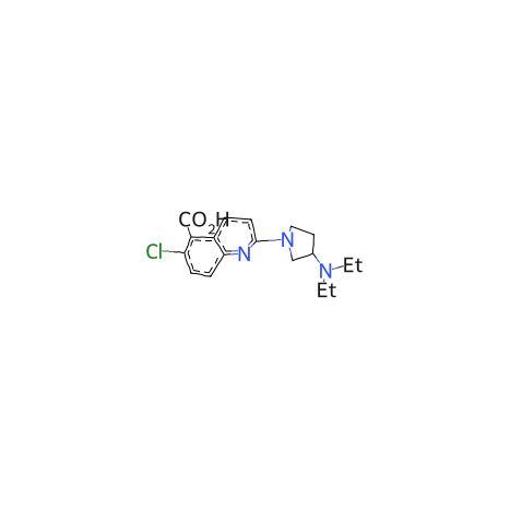 CCN(CC)C1CCN(c2ccc3c(C(=O)O)c(Cl)ccc3n2)C1